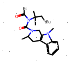 CCC(=O)N(C(=O)N1Cc2c(c3ccccc3n2C)CC1C)C(C)(C)CC(C)(C)C